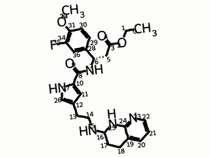 CCOC(=O)C[C@H](NC(=O)c1cc(CCNC2CCc3cccnc3N2)c[nH]1)c1ccc(OC)c(F)c1